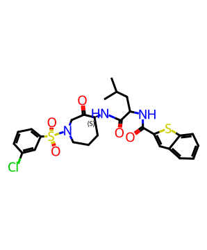 CC(C)CC(NC(=O)c1cc2ccccc2s1)C(=O)N[C@H]1CCCN(S(=O)(=O)c2cccc(Cl)c2)CC1=O